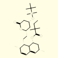 CCC(C)(C)C(=O)O[C@@H]1C[C@H](C)C=C2C=C[C@H](C)[C@H](CC[C@H]3C[C@@H](O[Si](C)(C)C(C)(C)C)CC(=O)O3)C21